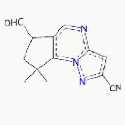 CC1(C)CC(C=O)c2cnc3cc(C#N)nn3c21